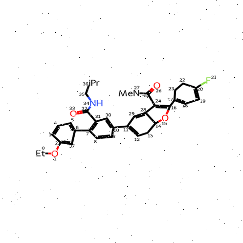 CCOc1cccc(-c2ccc(C3=CCC4OC(C5=CC=C(F)CC5)=C(C(=O)NC)C4=C3)cc2C(=O)NCC(C)C)c1